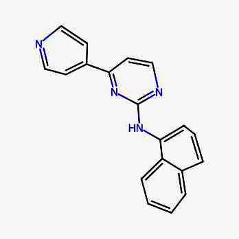 c1ccc2c(Nc3nccc(-c4ccncc4)n3)cccc2c1